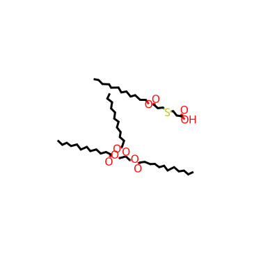 CCCCCCCCCCCC(=O)OCC(COC(=O)CCCCCCCCCCC)OC(=O)CCCCCCCCCCC.CCCCCCCCCCCCOC(=O)CCSCCC(=O)O